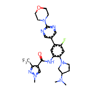 CN(C)C1CCN(c2cc(F)c(-c3cnc(N4CCOCC4)nc3)cc2NC(=O)c2cn(C)nc2C(F)(F)F)C1